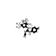 CC1(C)CC(N/C(=N/C#N)Nc2ccc(F)cc2)C(C)(C)N1O